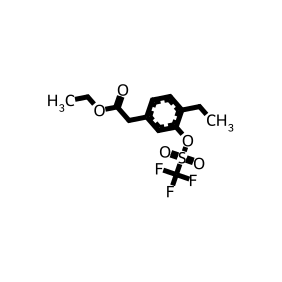 CCOC(=O)Cc1ccc(CC)c(OS(=O)(=O)C(F)(F)F)c1